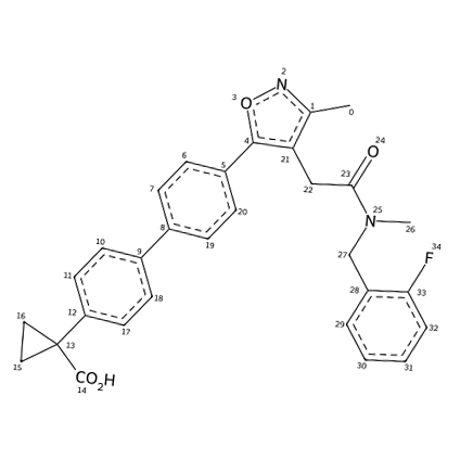 Cc1noc(-c2ccc(-c3ccc(C4(C(=O)O)CC4)cc3)cc2)c1CC(=O)N(C)Cc1ccccc1F